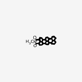 CN1C(=O)c2ccc3c4ccc5c6cccc7cccc(c8ccc(c9ccc(c2c39)C1=O)c4c58)c76